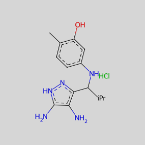 Cc1ccc(NC(c2n[nH]c(N)c2N)C(C)C)cc1O.Cl